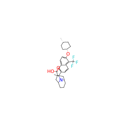 CC(c1ccc2c(C(F)(F)F)c(O[C@H]3CC[C@@H](C)CC3)ccc2c1)N1C2CCCC1CC(C(=O)O)C2